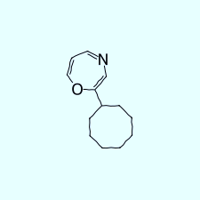 C1=COC(C2CCCCCCC2)=CN=C1